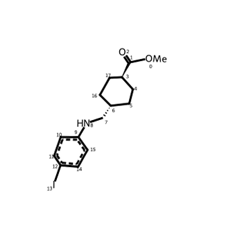 COC(=O)[C@H]1CC[C@H](CNc2ccc(I)cc2)CC1